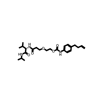 C=CC[CH]c1ccc(NC(=O)OCCOCCC(=O)N[C@H](C(=O)NC(C)C)C(C)C)cc1